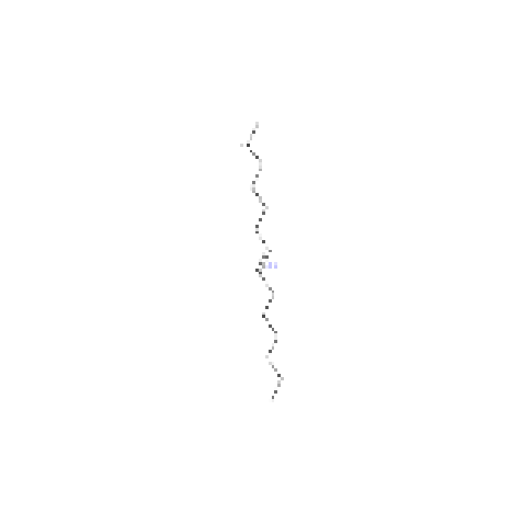 C[CH]CCCC/C=C/CCCCCC